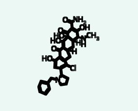 CN[C@@H]1C(O)=C(C(N)=O)C(=O)[C@@]2(O)C(O)=C3C(=O)c4c(O)cc(C5CCCN5Cc5ccccc5)c(Cl)c4C[C@H]3C[C@@H]12